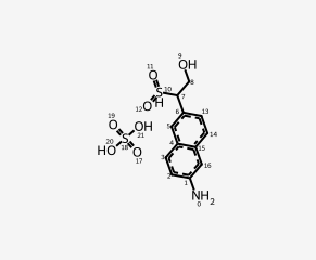 Nc1ccc2cc(C(CO)[SH](=O)=O)ccc2c1.O=S(=O)(O)O